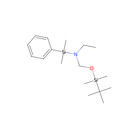 CCN([CH]O[Si](C)(C)C(C)(C)C)[Si](C)(C)c1ccccc1